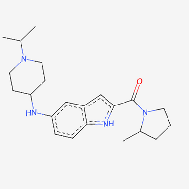 CC(C)N1CCC(Nc2ccc3[nH]c(C(=O)N4CCCC4C)cc3c2)CC1